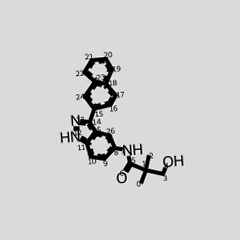 CC(C)(CO)C(=O)Nc1ccc2[nH]nc(-c3ccc4ccccc4c3)c2c1